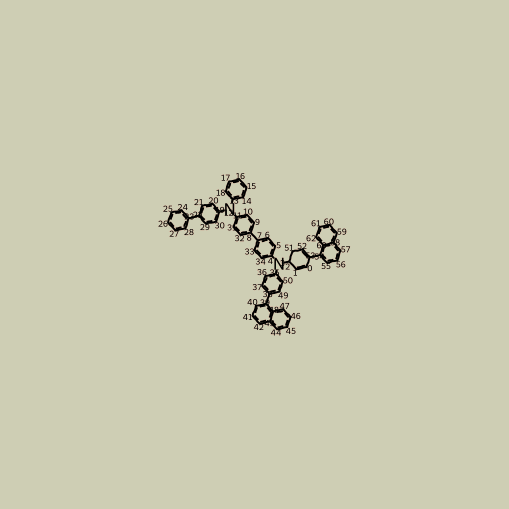 C1=CC(N(c2ccc(-c3ccc(N(c4ccccc4)c4ccc(-c5ccccc5)cc4)cc3)cc2)c2ccc(-c3cccc4ccccc34)cc2)CC=C1c1cccc2ccccc12